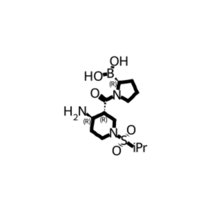 CC(C)S(=O)(=O)N1CC[C@@H](N)[C@H](C(=O)N2CCC[C@H]2B(O)O)C1